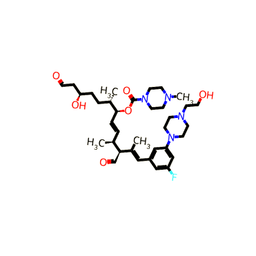 C/C(=C\c1cc(F)cc(N2CCN(CCO)CC2)c1)[C@@H](C=O)[C@@H](C)/C=C/[C@H](OC(=O)N1CCN(C)CC1)[C@@H](C)CC[C@@H](O)CC=O